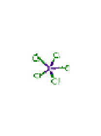 ClI(Cl)(Cl)(Cl)Cl